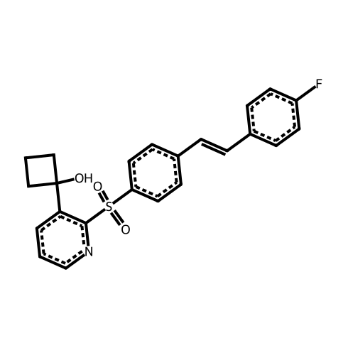 O=S(=O)(c1ccc(C=Cc2ccc(F)cc2)cc1)c1ncccc1C1(O)CCC1